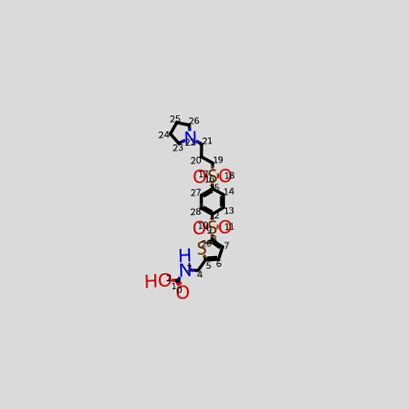 O=C(O)NCc1ccc(S(=O)(=O)c2ccc(S(=O)(=O)CCCN3CCCC3)cc2)s1